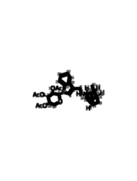 CC(=O)O[C@@H]1[C@@H](OC(C)=O)[C@@H](n2cc(CN[C@@H]3C[C@@H]4C[C@H]([C@H]3C)C4(C)C)c3ccccc32)OC[C@H]1OC(C)=O